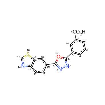 O=C(O)c1cccc(-c2nnc(-c3ccc4ncsc4c3)o2)c1